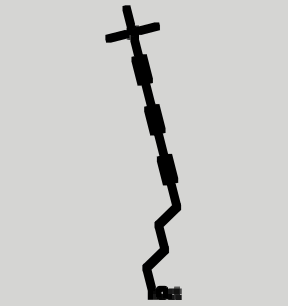 CCCCCCCCCCCCC#CC#CC#C[Si](C)(C)C